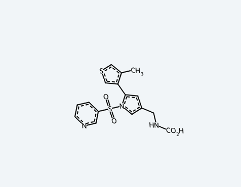 Cc1cscc1-c1cc(CNC(=O)O)cn1S(=O)(=O)c1cccnc1